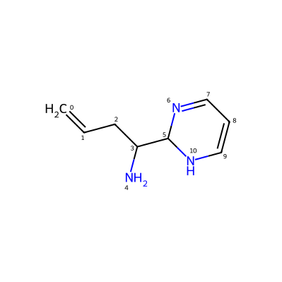 C=CCC(N)C1N=CC=CN1